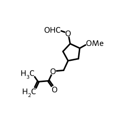 C=C(C)C(=O)OCC1CC(OC)C(OC=O)C1